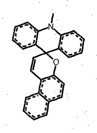 CN1c2ccccc2C2(C=Cc3c(ccc4ccccc34)O2)c2ccccc21